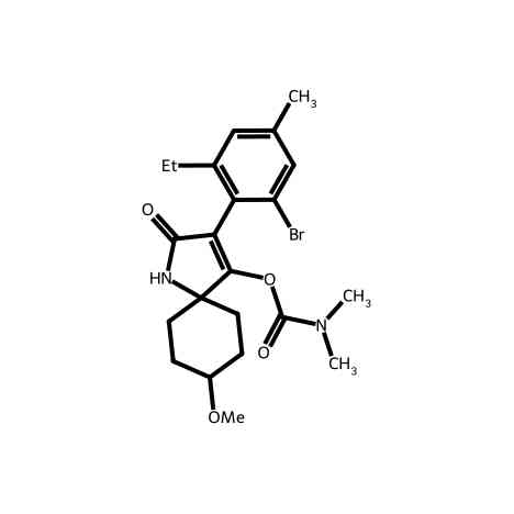 CCc1cc(C)cc(Br)c1C1=C(OC(=O)N(C)C)C2(CCC(OC)CC2)NC1=O